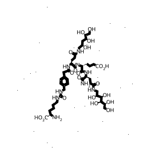 NC(=O)[C@H](CCC(=O)NC[C@H](O)[C@@H](O)[C@H](O)[C@H](O)CO)NC(=O)[C@@H](CCCC(=O)O)NC(=O)[C@H](CCC(=O)NC[C@H](O)C[C@H](O)[C@H](O)CO)NC(=O)Cc1ccc(CNC(=O)NCCCC[C@H](N)C(=O)O)cc1